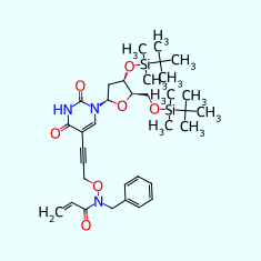 C=CC(=O)N(Cc1ccccc1)OCC#Cc1cn([C@H]2C[C@@H](O[Si](C)(C)C(C)(C)C)[C@@H](CO[Si](C)(C)C(C)(C)C)O2)c(=O)[nH]c1=O